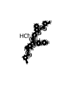 C#Cc1cccc(C(=O)OCn2ncc3cc(CC(NC(=O)N4CCC(c5cc6ccccc6n(COC(=O)c6cccc(C=C)c6)c5=O)CC4)C(=O)N4CCN(C5CCN(C)CC5)CC4)cc(C)c32)c1.Cl